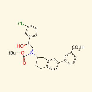 CC(C)(C)OC(=O)N(C[C@@H](O)c1cccc(Cl)c1)[C@H]1CCc2ccc(-c3cccc(C(=O)O)c3)cc2C1